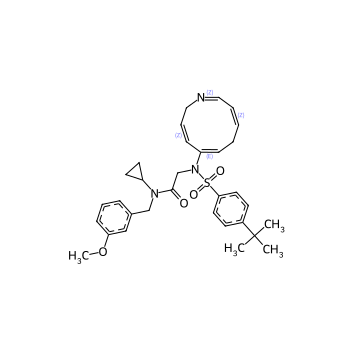 COc1cccc(CN(C(=O)CN(C2=C/C/C=C\C=N/C/C=C\2)S(=O)(=O)c2ccc(C(C)(C)C)cc2)C2CC2)c1